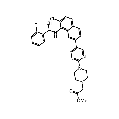 COC(=O)CN1CCN(c2ncc(-c3ccc4ncc(Cl)c(N[C@H](C)c5ccccc5F)c4c3)cn2)CC1